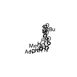 COc1cc(-c2nccc(-c3cccc(NC(=O)c4ccc(CN(C[C@@H]5CCC(=O)N5)C(=O)OC(C)(C)C)cn4)c3C)c2Cl)ccc1CNC1CCN(C(C)=O)CC1